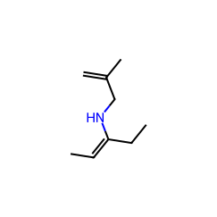 C=C(C)CN/C(=C\C)CC